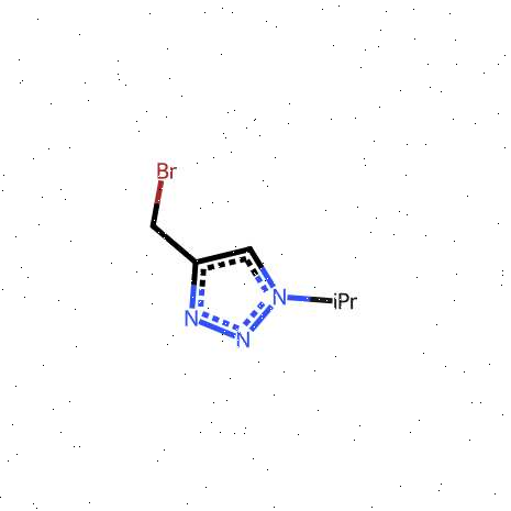 CC(C)n1cc(CBr)nn1